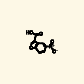 O=C(O)c1coc2ccc([N+](=O)[O-])cc12